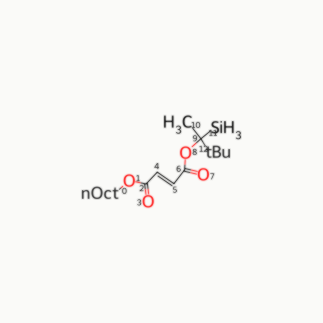 CCCCCCCCOC(=O)C=CC(=O)OC(C)([SiH3])C(C)(C)C